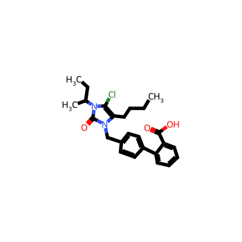 CCCCc1c(Cl)n(C(C)CC)c(=O)n1Cc1ccc(-c2ccccc2C(=O)O)cc1